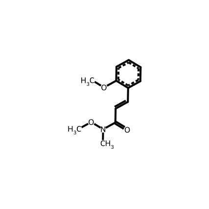 COc1ccccc1C=CC(=O)N(C)OC